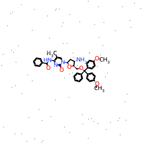 COc1ccc(C(OC[C@H]2O[C@@H](n3cc(C)c(NC(=O)c4ccccc4)nc3=O)C[C@@H]2N)(c2ccccc2)c2ccc(OC)cc2)cc1